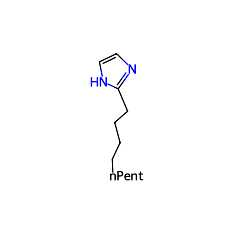 CCCCCCCCCc1ncc[nH]1